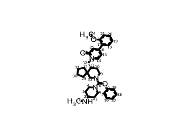 CN[C@@H]1CCN(C(=O)N2CC[C@@H](Cn3ccc(-c4ccccc4OC)cc3=O)C3(CCCC3)C2)[C@H](c2ccccc2)C1